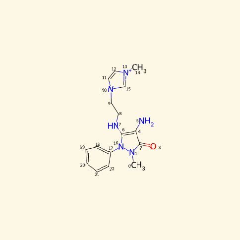 Cn1c(=O)c(N)c(NCCn2cc[n+](C)c2)n1-c1ccccc1